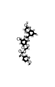 COc1ccc(N(C)C(=O)OC2COc3c(cc(Cl)c4nc(-c5cc(C)cc6nc(OC)cnc56)sc34)O2)cn1